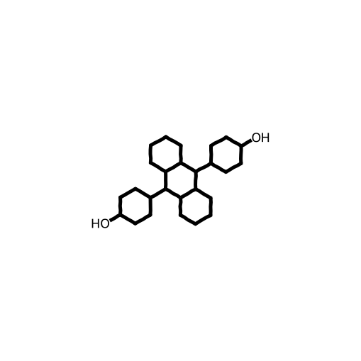 OC1CCC(C2C3CCCCC3C(C3CCC(O)CC3)C3CCCCC32)CC1